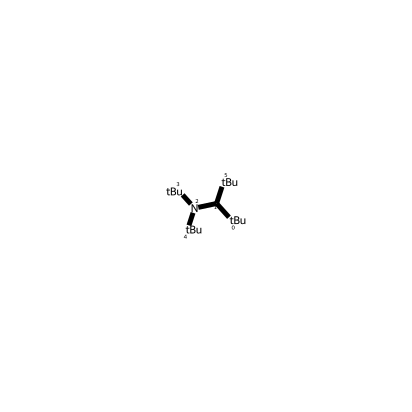 CC(C)(C)C(N(C(C)(C)C)C(C)(C)C)C(C)(C)C